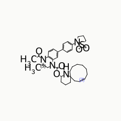 CC(=O)N1c2ccc(-c3ccc(N4CCCS4(=O)=O)cc3)cc2N(C(=O)OC2CCCC3(C/C=C\CCCCCC3)N2)C[C@@H]1C